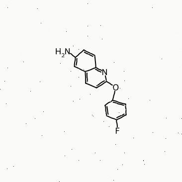 Nc1ccc2nc(Oc3ccc(F)cc3)ccc2c1